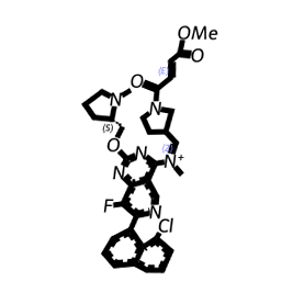 COC(=O)/C=C/C(=O)N1CCC(/C=[N+](/C)c2nc(OC[C@@H]3CCCN3C)nc3c(F)c(-c4cccc5cccc(Cl)c45)ncc23)C1